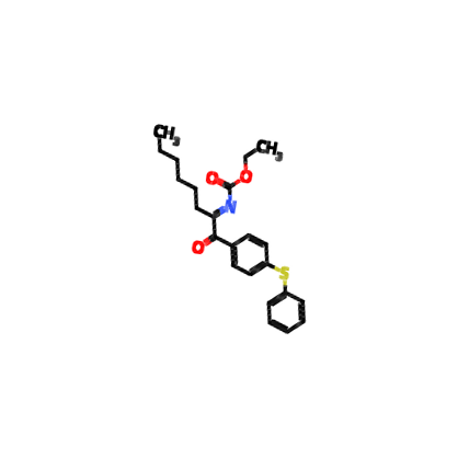 CCCCCCC(=NC(=O)OCC)C(=O)c1ccc(Sc2ccccc2)cc1